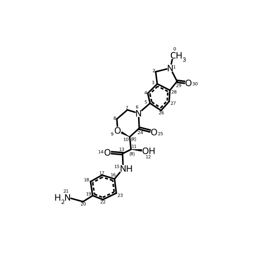 CN1Cc2cc(N3CCO[C@H]([C@@H](O)C(=O)Nc4ccc(CN)cc4)C3=O)ccc2C1=O